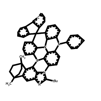 CC(C)(C)c1nc2cc3c(c4c2n1-c1ccc2c5c1B4c1cccc4c1N5c1c(cccc1C41c4ccccc4-c4ccccc41)N2c1ccccc1)C1(C)CCC3(C)CC1